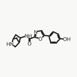 O=C(NC1CC2CC1CN2)c1ncc(-c2ccc(O)cc2)o1